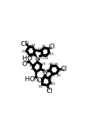 O=C(O)c1cc(C(=O)O)c(-n2c3ccc(Cl)cc3c3cc(Cl)ccc32)cc1-n1c2ccc(Cl)cc2c2cc(Cl)ccc21